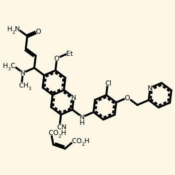 CCOc1cc2nc(Nc3ccc(OCc4ccccn4)c(Cl)c3)c(C#N)cc2cc1C(C=CC(N)=O)N(C)C.O=C(O)/C=C\C(=O)O